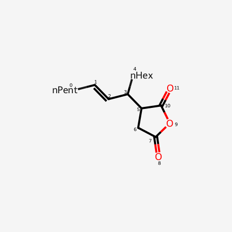 CCCCC/C=C/C(CCCCCC)C1CC(=O)OC1=O